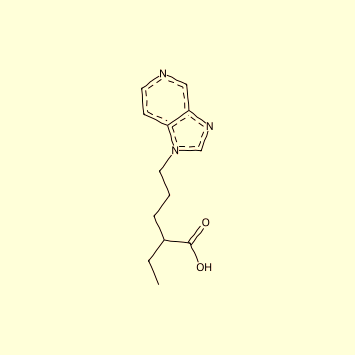 CCC(CCCn1cnc2cnccc21)C(=O)O